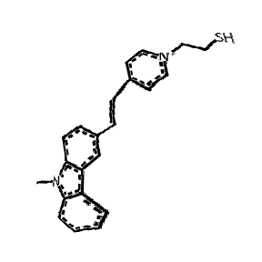 Cn1c2ccccc2c2cc(/C=C/c3cc[n+](CCS)cc3)ccc21